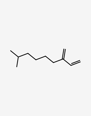 C=CC(=C)CCCCC(C)C